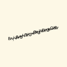 BrCCCOCCOCCOCCOCCOCCOCCOCCOCCOCCBr